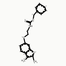 Cc1oc2cc(OCCNC(=O)OCc3ccccc3)ccc2c1C